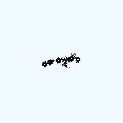 CC(C)(C)NC(=O)O[C@@H](Cc1ccc(OCc2ccc(-c3ccccc3)cc2)cc1)C(=O)NS(=O)(=O)c1ccc(NC2CCCCC2)c([N+](=O)[O-])c1